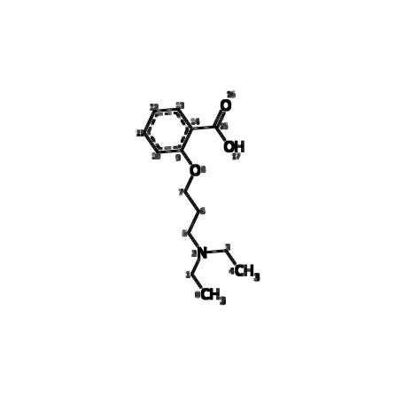 CCN(CC)CCCOc1ccccc1C(=O)O